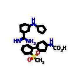 CS(=O)(=O)c1ccccc1-c1ccc(NC(=O)O)cc1.N=C(N)c1cccc(NC2CCCC2)c1